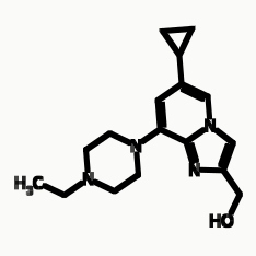 CCN1CCN(c2cc(C3CC3)cn3cc(CO)nc23)CC1